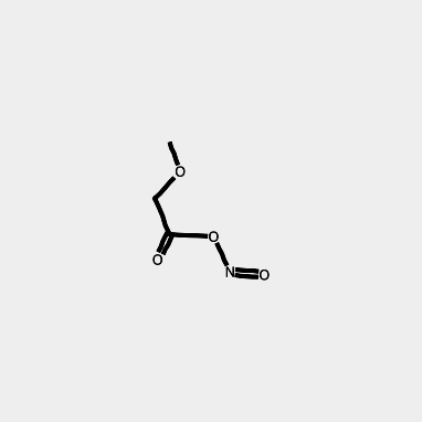 COCC(=O)ON=O